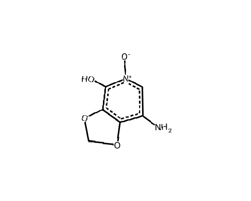 Nc1c[n+]([O-])c(O)c2c1OCO2